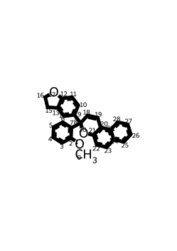 COc1ccccc1C1(c2ccc3c(c2)CCO3)C=Cc2c(ccc3ccccc23)O1